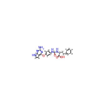 Nc1nc(Oc2ccc(NC(=O)NC(CCc3ccccc3)C(=O)O)cc2)c2cc[nH]c2n1